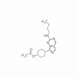 CCCCNc1ncc2cnc(C3CCC(OC(C)=O)CC3)n2n1